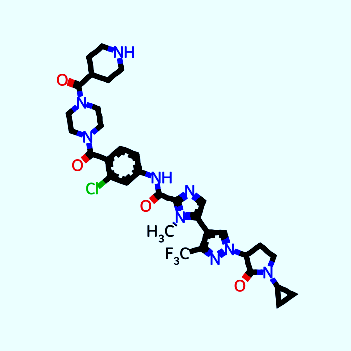 Cn1c(-c2cn(C3CCN(C4CC4)C3=O)nc2C(F)(F)F)cnc1C(=O)Nc1ccc(C(=O)N2CCN(C(=O)C3CCNCC3)CC2)c(Cl)c1